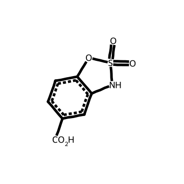 O=C(O)c1ccc2c(c1)NS(=O)(=O)O2